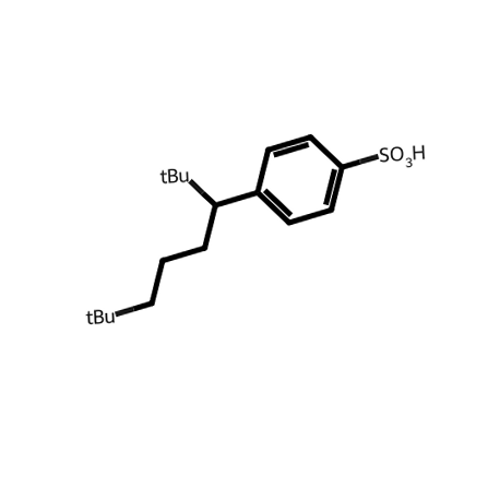 CC(C)(C)CCCC(c1ccc(S(=O)(=O)O)cc1)C(C)(C)C